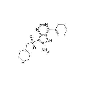 Nc1[nH]c2c(C3=CCCCC3)ncnc2c1S(=O)(=O)CC1CCOCC1